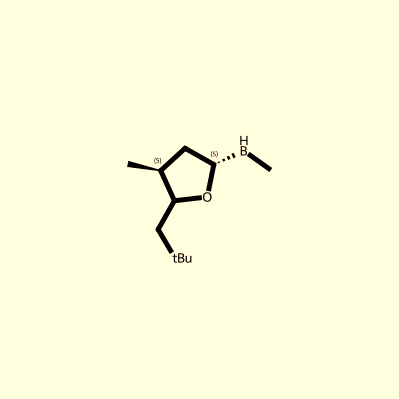 CB[C@H]1C[C@H](C)C(CC(C)(C)C)O1